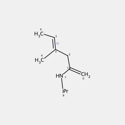 C=C(C/C(C)=C/C)NC(C)C